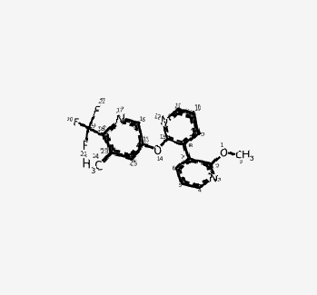 COc1ncccc1-c1cccnc1Oc1cnc(C(F)(F)F)c(C)c1